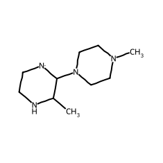 CC1NCC[N]C1N1CCN(C)CC1